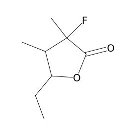 CCC1OC(=O)C(C)(F)C1C